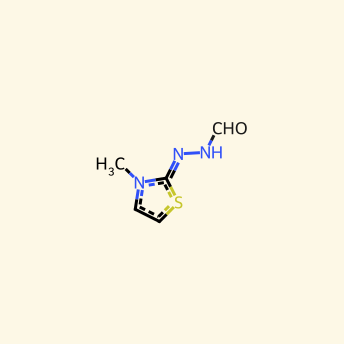 Cn1ccsc1=NNC=O